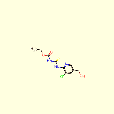 CCOC(=O)NC(=S)Nc1ncc(CO)cc1Cl